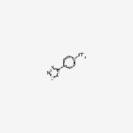 FC(F)(F)c1ccc(-c2csnn2)cc1